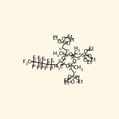 CCO[Si](CC[Si]1(C)O[Si](C)(CCC(F)(F)C(F)(F)C(F)(F)C(F)(F)C(F)(F)C(F)(F)F)O[Si](C)(CC[Si](OCC)(OCC)OCC)O[Si](C)(CC[Si](OCC)(OCC)OCC)O1)(OCC)OCC